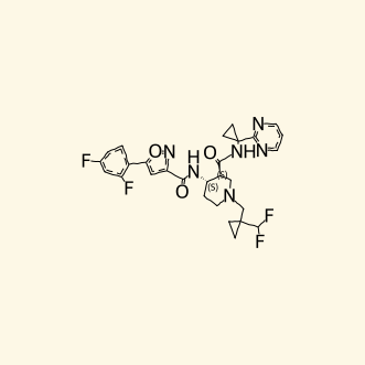 O=C(N[C@H]1CCN(CC2(C(F)F)CC2)C[C@@H]1C(=O)NC1(c2ncccn2)CC1)c1cc(-c2ccc(F)cc2F)on1